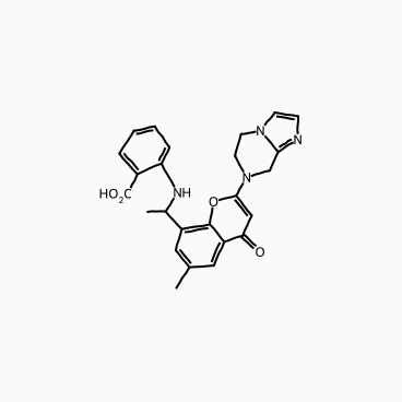 Cc1cc(C(C)Nc2ccccc2C(=O)O)c2oc(N3CCn4ccnc4C3)cc(=O)c2c1